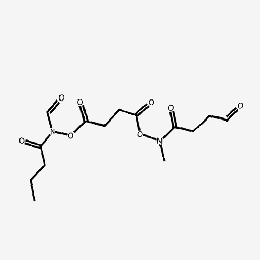 CCCC(=O)N(C=O)OC(=O)CCC(=O)ON(C)C(=O)CCC=O